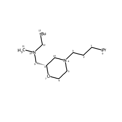 CC(C)CCCN1CCO[C@H](CN(C)CC(C)(C)C)C1